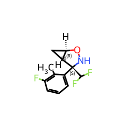 Cc1c(F)cccc1[C@@]1(C(F)F)NO[C@@H]2C[C@@H]21